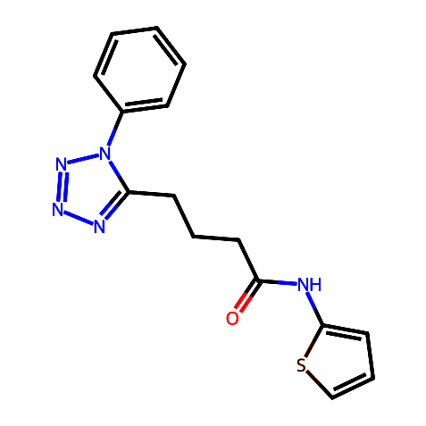 O=C(CCCc1nnnn1-c1ccccc1)Nc1cccs1